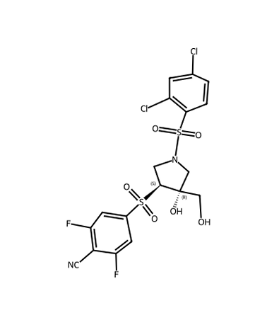 N#Cc1c(F)cc(S(=O)(=O)[C@H]2CN(S(=O)(=O)c3ccc(Cl)cc3Cl)C[C@@]2(O)CO)cc1F